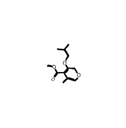 COC(=O)C1=C(OCC(C)C)COC=C1C